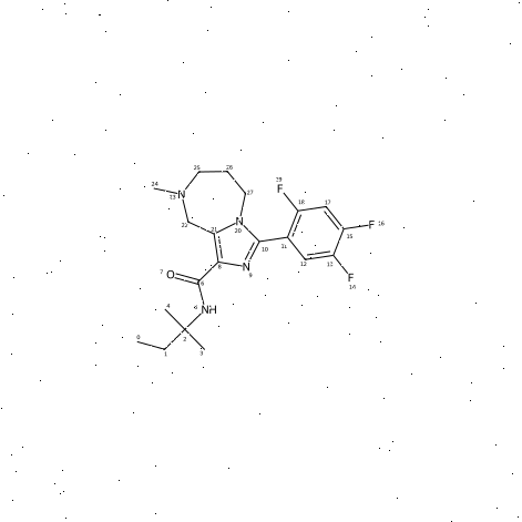 CCC(C)(C)NC(=O)c1nc(-c2cc(F)c(F)cc2F)n2c1CN(C)CCC2